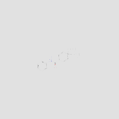 O=C(Nc1ccccc1)C1C=CC(C(=O)O)(C(=O)O)C=C1